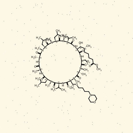 CC[C@@H]1NC(=O)[C@H]([C@H](O)[C@H](C)CCCCC(=O)OC)NC(=O)[C@H](C(C)C)N(C)C(=O)[C@H](CC(C)C)N(C)C(=O)[C@H](CC(C)C)N(C)C(=O)[C@@H](C)NC(=O)[C@H](C)NC(=O)[C@H](CC(C)C)N(C)C(=O)[C@H](C(C)C)NC(=O)[C@H]([C@@H](C)OCCCCN2CCOCC2)N(C)C(=O)[C@@H](C)N(C)C1=O